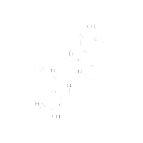 C=C(C)OC(=O)CN1CCN(C)CCN(CC(=O)OC(=C)C)Cc2cccc(n2)C1